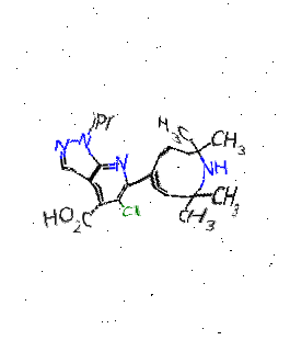 CC(C)n1ncc2c(C(=O)O)c(Cl)c(C3=CC(C)(C)NC(C)(C)C3)nc21